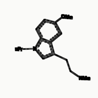 CCCn1cc(CCNC)c2cc(OC)ccc21